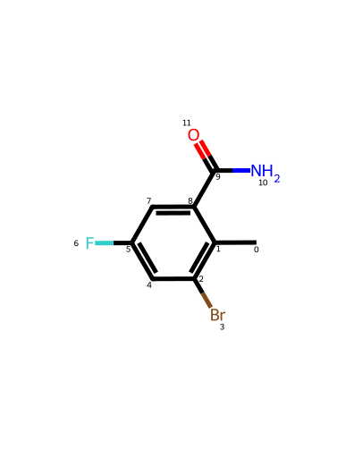 Cc1c(Br)cc(F)cc1C(N)=O